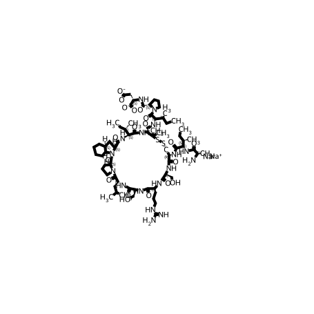 CC[C@H](C)[C@H](NC(=O)[C@H](C)N)C(=O)N[C@H]1CSSC(C)(C)[C@@H](C(=O)N[C@H](C(=O)N2CCC[C@H]2C(=O)N[C@@H](CC(=O)[O-])C(=O)[O-])[C@@H](C)CC)NC(=O)[C@H]([C@@H](C)CC)NC(=O)[C@@H]2C[C@@H]3CCCC[C@@H]3N2C(=O)[C@@H]2CCCN2C(=O)[C@H](CC(C)C)NC(=O)[C@H](CO)NC(=O)[C@H](CCCNC(=N)N)NC(=O)[C@H](CO)NC1=O.[Na+].[Na+]